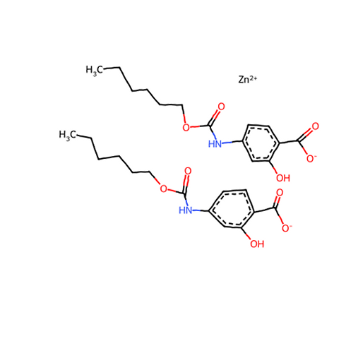 CCCCCCOC(=O)Nc1ccc(C(=O)[O-])c(O)c1.CCCCCCOC(=O)Nc1ccc(C(=O)[O-])c(O)c1.[Zn+2]